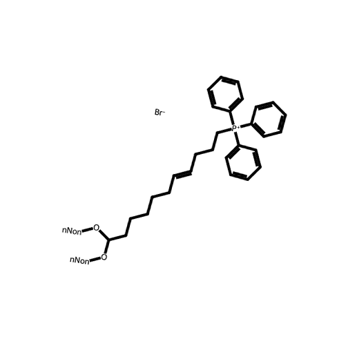 CCCCCCCCCOC(CCCCCC=CCCC[P+](c1ccccc1)(c1ccccc1)c1ccccc1)OCCCCCCCCC.[Br-]